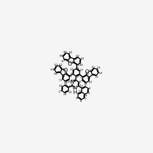 C1=C(c2cccc3ccccc23)NC(c2ccccc2)N=C1c1c(-c2cccc3c2oc2ccccc23)cc(-c2cccc3c2oc2ccccc23)cc1-c1cccc2c1oc1ccccc12